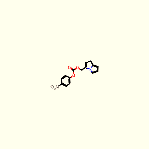 O=C(OCC1=CCc2cccn21)Oc1ccc([N+](=O)[O-])cc1